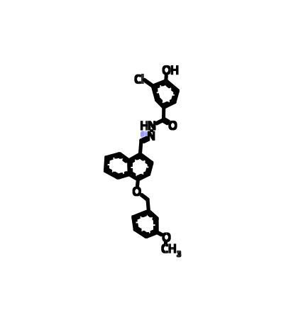 COc1cccc(COc2ccc(/C=N/NC(=O)c3ccc(O)c(Cl)c3)c3ccccc23)c1